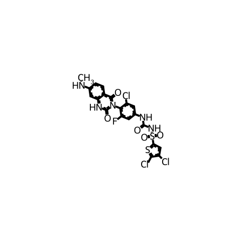 CNc1ccc2c(=O)n(-c3c(F)cc(NC(=O)NS(=O)(=O)c4cc(Cl)c(Cl)s4)cc3Cl)c(=O)[nH]c2c1